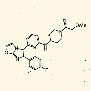 COCC(=O)N1CCC(Nc2nccc(C3C(c4ccc(F)cc4)N=C4OC=CN43)n2)CC1